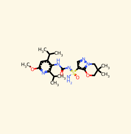 COc1cc(C(C)C)c(NC(=O)N=[S@](N)(=O)c2cnn3c2OCC(C)(C)C3)c(C(C)C)n1